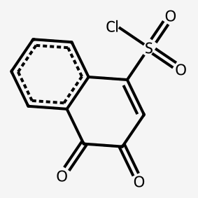 O=C1C=C(S(=O)(=O)Cl)c2ccccc2C1=O